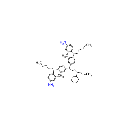 CCCCCC(c1ccc(C(CCC(CCC)C2CCCCC2)c2ccc(C(CCCCC)c3ccc(N)cc3C)cc2)cc1)c1ccc(N)cc1C